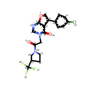 O=C(Cn1cnc2occ(-c3ccc(Cl)cc3)c2c1=O)N1CCC(C(F)(F)F)C1